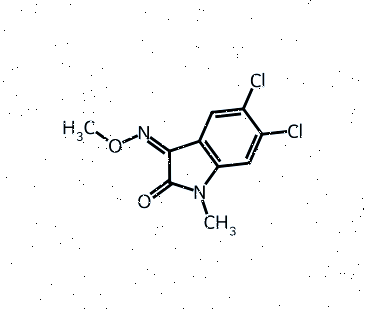 CO/N=C1\C(=O)N(C)c2cc(Cl)c(Cl)cc21